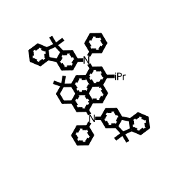 CC(C)c1cc(N(c2ccccc2)c2ccc3c(c2)C(C)(C)c2ccccc2-3)c2cc3c4c(cc(N(c5ccccc5)c5ccc6c(c5)C(C)(C)c5ccccc5-6)c5ccc1c2c54)CCC3(C)C